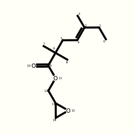 CC/C(C)=C/CC(C)(C)C(=O)OCC1CO1